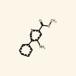 COC(=O)c1cc(N)c(-c2ccccc2)cn1